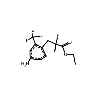 CCOC(=O)C(F)(F)Cc1ccc(N)cc1C(F)(F)F